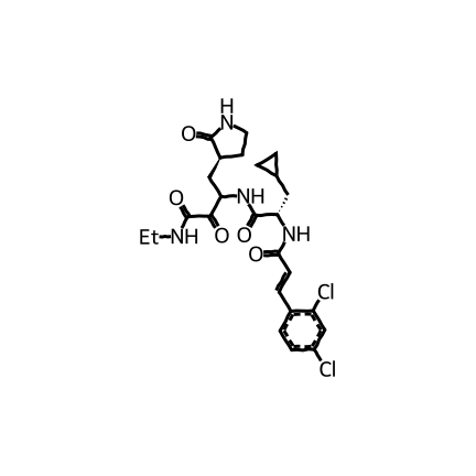 CCNC(=O)C(=O)C(C[C@@H]1CCNC1=O)NC(=O)[C@H](CC1CC1)NC(=O)/C=C/c1ccc(Cl)cc1Cl